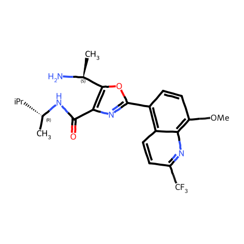 COc1ccc(-c2nc(C(=O)N[C@H](C)C(C)C)c([C@H](C)N)o2)c2ccc(C(F)(F)F)nc12